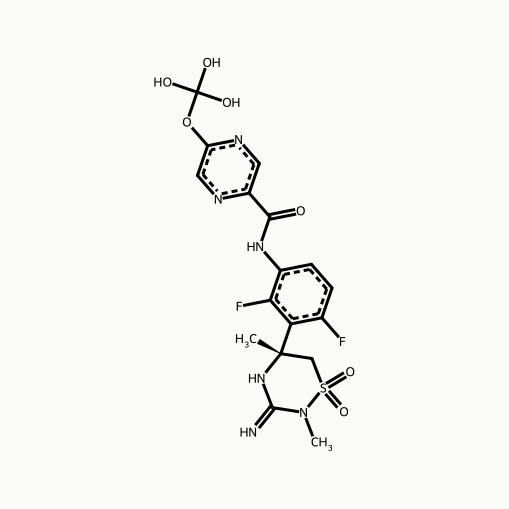 CN1C(=N)N[C@](C)(c2c(F)ccc(NC(=O)c3cnc(OC(O)(O)O)cn3)c2F)CS1(=O)=O